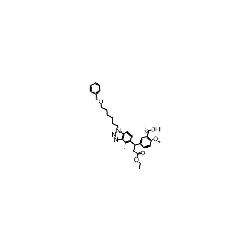 CCOC(=O)CC(c1ccc(OC)c([C@H](C)O)c1)c1ccc2c(nnn2CCCCCCOCc2ccccc2)c1C